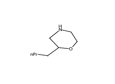 [CH2]CC[CH]C1CNCCO1